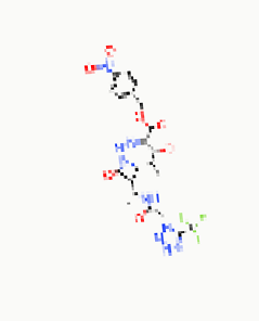 CC(C(=O)C(=[N+]=[N-])C(=O)OCc1ccc([N+](=O)[O-])cc1)[C@H]1NC(=O)[C@@H]1[C@@H](C)NC(=O)Cn1nnnc1C(F)(F)F